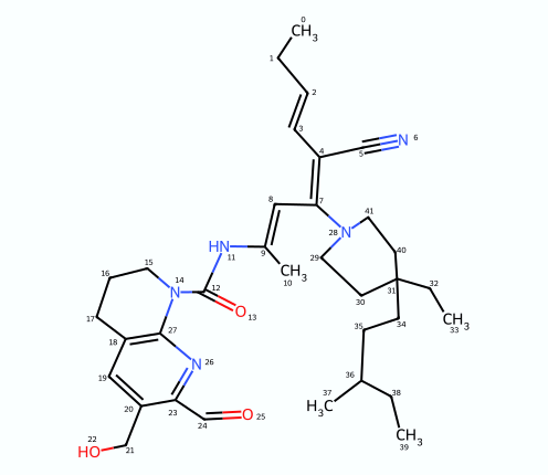 CC/C=C/C(C#N)=C(\C=C(/C)NC(=O)N1CCCc2cc(CO)c(C=O)nc21)N1CCC(CC)(CCC(C)CC)CC1